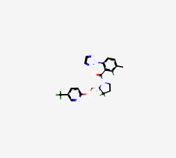 Cc1ccc(-n2nccn2)c(C(=O)N2CCC(F)(F)[C@H]2COc2ccc(C(F)(F)F)cn2)c1F